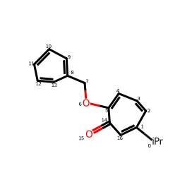 CC(C)c1cccc(OCc2ccccc2)c(=O)c1